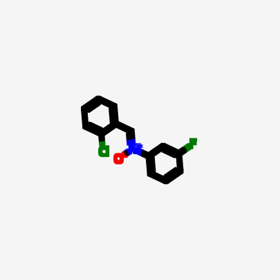 [O-][N+](=Cc1ccccc1Cl)c1cccc(F)c1